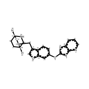 c1cnc2nc(Oc3ccc4c(CN5C[C@@H]6CC[C@H]5CN6)coc4c3)sc2c1